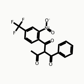 CC(=O)C(C(=O)c1ccccc1)C(=O)c1ccc(C(F)(F)F)cc1[N+](=O)[O-]